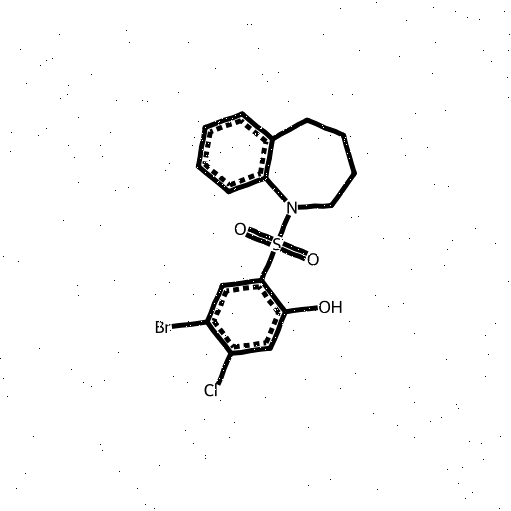 O=S(=O)(c1cc(Br)c(Cl)cc1O)N1CCCCc2ccccc21